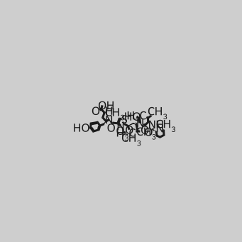 CCC(C)[C@H](NC(=O)[C@H]1CCCCN1C)C(=O)N(CO)[C@H](C[C@@H](OC(C)=O)c1nc(C(=O)N[C@@H](Cc2ccc(O)cc2)C[C@H](C)C(=O)O)cs1)C(C)C